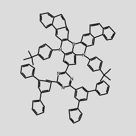 CC(C)(C)c1ccc(N2c3cc4c(ccc5ccccc54)cc3B3c4cc5ccc6ccccc6c5cc4N(c4ccc(C(C)(C)C)cc4)c4cc(-c5nc(-c6cc(-c7ccccc7)cc(-c7ccccc7)c6)nc(-c6cc(-c7ccccc7)cc(-c7ccccc7)c6)n5)cc2c43)cc1